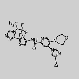 CC(n1cnnc1-c1nc(NC(=O)c2cc(-n3cnc(C4CC4)c3)c(N3CCOCC3)cn2)cs1)C(F)(F)F